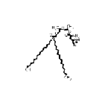 CCCCCCCCCCCCCCCCN(CCCCCCCCCCCCCCCC)C(=O)COCC(C)OCC(C)OC(=O)C(N)Cc1cnc[nH]1